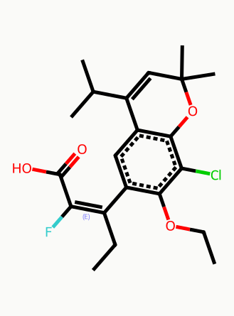 CCOc1c(/C(CC)=C(/F)C(=O)O)cc2c(c1Cl)OC(C)(C)C=C2C(C)C